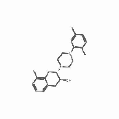 Cc1ccc(C)c(N2CCN([C@H]3Cc4c(I)cccc4C[C@@H]3O)CC2)c1